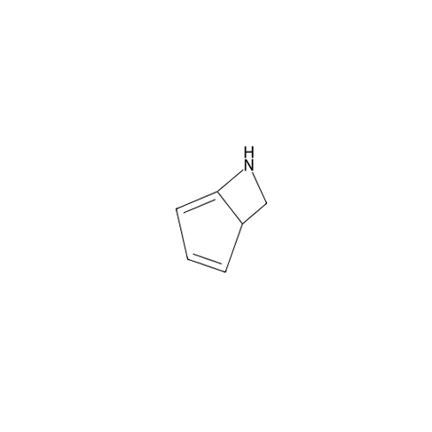 C1=CC2CNC2=C1